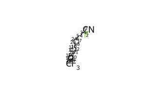 N#CC(F)=CCC[C@H]1CC[C@H]([C@H]2CC[C@H](c3ccc(C(F)(F)F)cc3)CC2)CC1